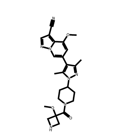 COc1cc(-c2c(C)nn(C3CCN(C(=O)C4(OC)CNC4)CC3)c2C)cn2ncc(C#N)c12